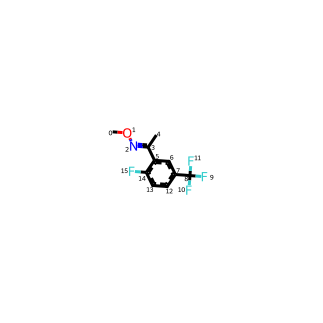 CON=C(C)c1cc(C(F)(F)F)ccc1F